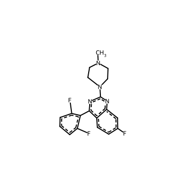 CN1CCN(c2nc(-c3c(F)cccc3F)c3ccc(F)cc3n2)CC1